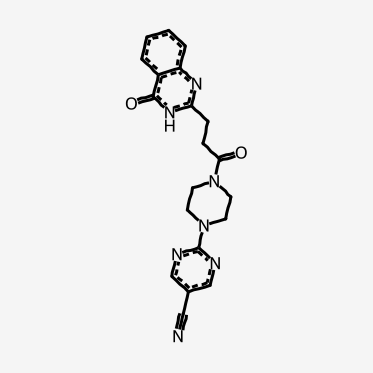 N#Cc1cnc(N2CCN(C(=O)CCc3nc4ccccc4c(=O)[nH]3)CC2)nc1